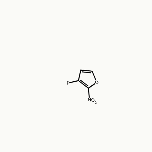 O=[N+]([O-])c1occc1F